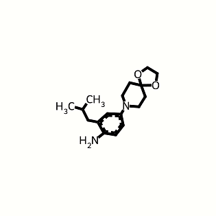 CC(C)Cc1cc(N2CCC3(CC2)OCCO3)ccc1N